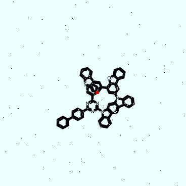 c1ccc(-c2ccc(-c3nc(-c4ccccc4)nc(-n4c5ccccc5c5cc6c7ccccc7n(-c7cc(-c8ccc9sc%10ccccc%10c9c8)c8oc9ccccc9c8c7)c6cc54)n3)cc2)cc1